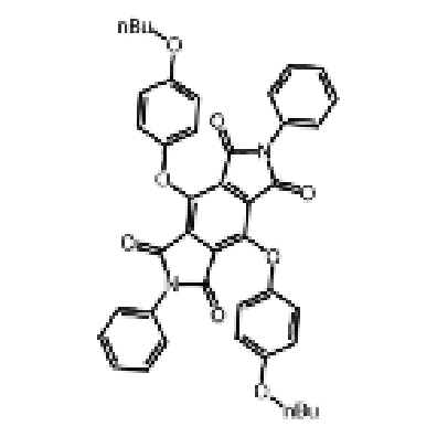 CCCCOc1ccc(Oc2c3c(=O)n(-c4ccccc4)c(=O)c3c(Oc3ccc(OCCCC)cc3)c3c(=O)n(-c4ccccc4)c(=O)c23)cc1